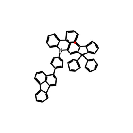 c1ccc(-c2ccccc2N(c2ccc(-c3ccc4c5c(cccc35)-c3ccccc3-4)cc2)c2ccc3c(c2)C(c2ccccc2)(c2ccccc2)c2ccccc2-3)cc1